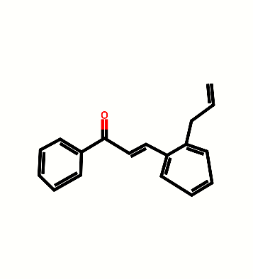 C=CCc1ccccc1C=CC(=O)c1ccccc1